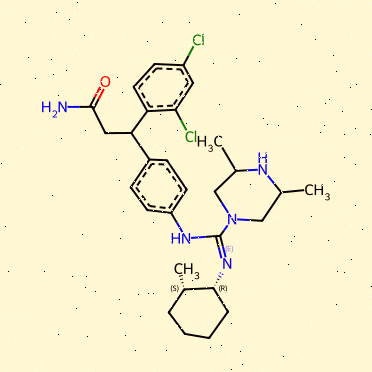 CC1CN(/C(=N/[C@@H]2CCCC[C@@H]2C)Nc2ccc(C(CC(N)=O)c3ccc(Cl)cc3Cl)cc2)CC(C)N1